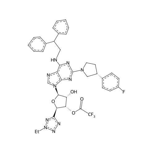 CCn1nnc([C@H]2O[C@@H](n3cnc4c(NCC(c5ccccc5)c5ccccc5)nc(N5CC[C@H](c6ccc(F)cc6)C5)nc43)[C@H](O)[C@@H]2OC(=O)C(F)(F)F)n1